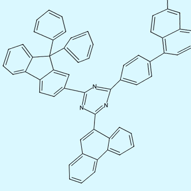 Cc1ccc2c(-c3ccc(-c4nc(-c5ccc6c(c5)C(c5ccccc5)(c5ccccc5)c5ccccc5-6)nc(-c5cc6ccccc6c6ccccc56)n4)cc3)cccc2c1